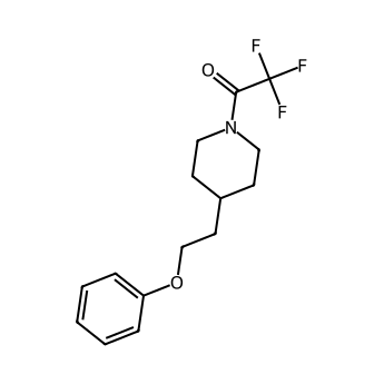 O=C(N1CCC(CCOc2ccccc2)CC1)C(F)(F)F